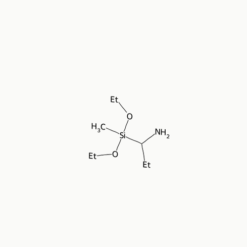 CCO[Si](C)(OCC)C(N)CC